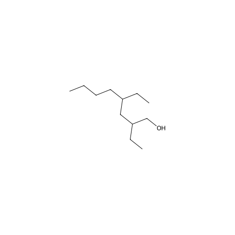 CCCCC(CC)CC(CC)CO